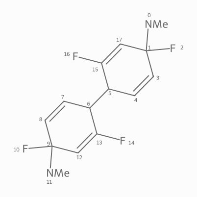 CNC1(F)C=CC(C2C=CC(F)(NC)C=C2F)C(F)=C1